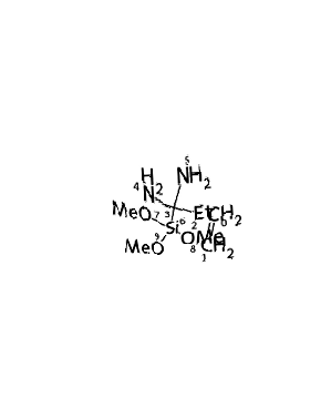 C=C.CCC(N)(N)[Si](OC)(OC)OC